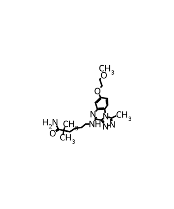 COCCOc1ccc2c(c1)nc(NCCCCC(C)(C)C(N)=O)c1nnc(C)n12